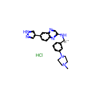 C[C@@H](Nc1cnc2cc(-c3cn[nH]c3)ccc2n1)c1cccc(N2CCN(C)CC2)c1.Cl